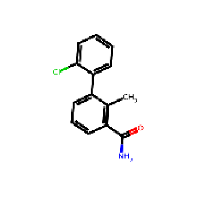 Cc1c(C(N)=O)cccc1-c1ccccc1Cl